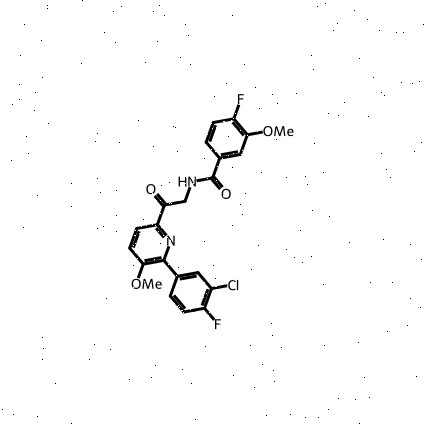 COc1cc(C(=O)NCC(=O)c2ccc(OC)c(-c3ccc(F)c(Cl)c3)n2)ccc1F